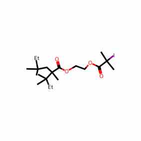 CCC(C)(C)CC(C)(C(=O)OCCOC(=O)C(C)(C)I)C(C)(C)CC